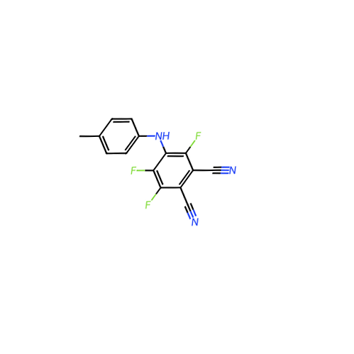 Cc1ccc(Nc2c(F)c(F)c(C#N)c(C#N)c2F)cc1